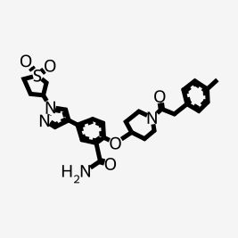 Cc1ccc(CC(=O)N2CCC(Oc3ccc(-c4cnn(C5CCS(=O)(=O)C5)c4)cc3C(N)=O)CC2)cc1